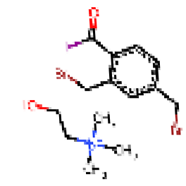 C[N+](C)(C)CCO.O=C(I)c1ccc(CBr)cc1CBr